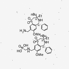 CCCC[C@]1(CC)CS(=O)(=O)c2cc(CN)c(OC)cc2[C@@H](c2ccccc2)N1.CCCC[C@]1(CC)CS(=O)(=O)c2cc(CNCP(=O)(O)O)c(OC)cc2[C@@H](c2ccccc2)N1